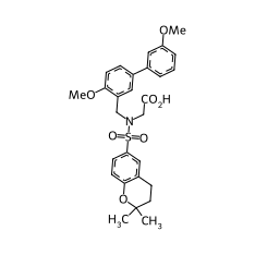 COc1cccc(-c2ccc(OC)c(CN(CC(=O)O)S(=O)(=O)c3ccc4c(c3)CCC(C)(C)O4)c2)c1